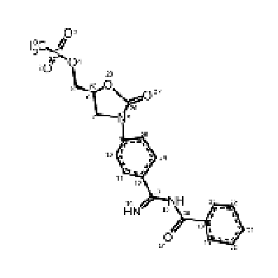 CS(=O)(=O)OC[C@@H]1CN(c2ccc(C(=N)NC(=O)c3ccccc3)cc2)C(=O)O1